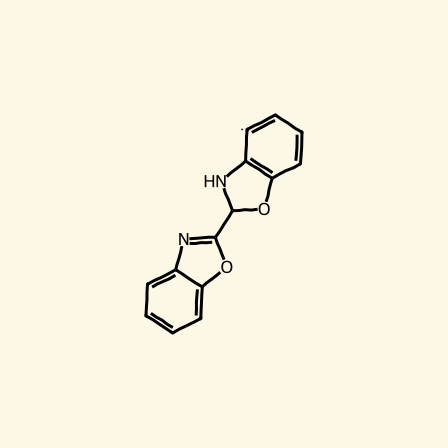 [c]1cccc2c1NC(c1nc3ccccc3o1)O2